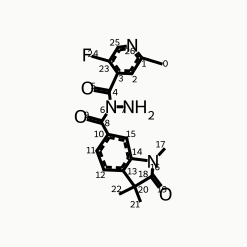 Cc1cc(C(=O)N(N)C(=O)c2ccc3c(c2)N(C)C(=O)C3(C)C)c(F)cn1